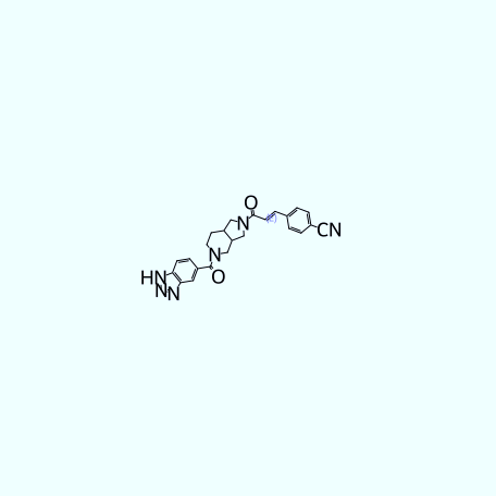 N#Cc1ccc(/C=C/C(=O)N2CC3CCN(C(=O)c4ccc5[nH]nnc5c4)CC3C2)cc1